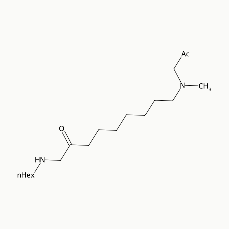 CCCCCCNCC(=O)CCCCCCCN(C)CC(C)=O